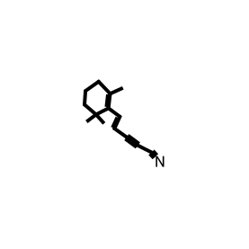 CC1=C(C=CC#CC#N)C(C)(C)CCC1